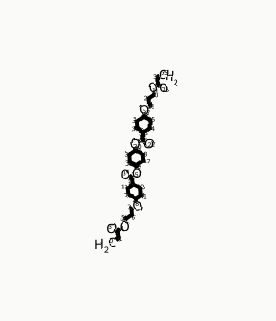 C=CC(=O)OCCCOC1CCC(C(=O)OC2CCC(OC(=O)C3CCC(OCCCOC(=O)C=C)CC3)CC2)CC1